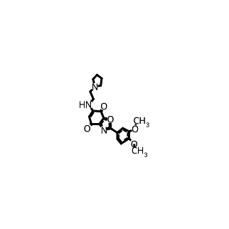 COc1ccc(-c2nc3c(o2)C(=O)C(NCCN2CCCC2)=CC3=O)cc1OC